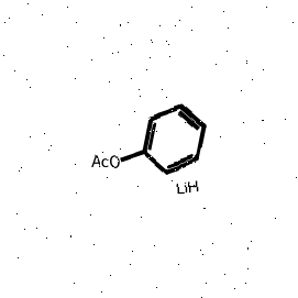 CC(=O)Oc1ccccc1.[LiH]